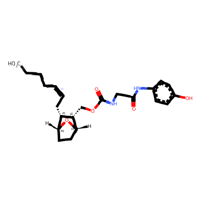 O=C(O)CCC/C=C\C[C@@H]1[C@H](COC(=O)NCC(=O)Nc2ccc(O)cc2)[C@@H]2CC[C@H]1O2